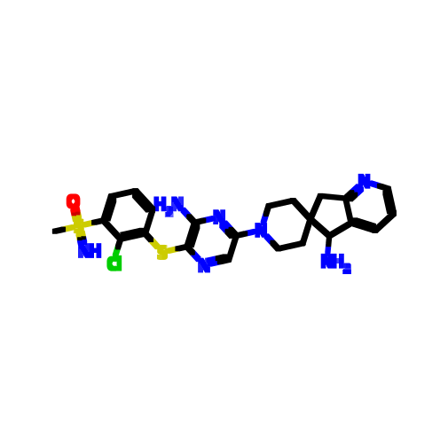 CS(=N)(=O)c1cccc(Sc2ncc(N3CCC4(CC3)Cc3ncccc3C4N)nc2N)c1Cl